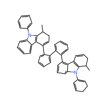 CC1CC=Cc2c1n(C1=CCCC=C1)c1cccc(-c3ccccc3-c3ccccc3C3=CCC(C)c4c3c3ccccc3n4-c3ccccc3)c21